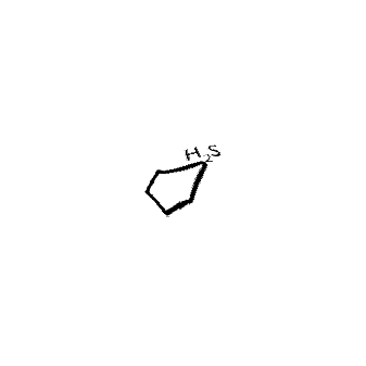 C1CCCC1.S